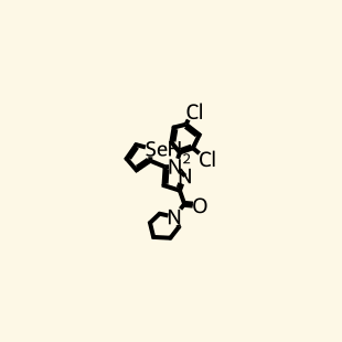 O=C(c1cc(C2=CC=C[SeH2]2)n(-c2ccc(Cl)cc2Cl)n1)N1CCCCC1